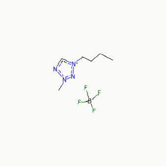 CCCC[n+]1cnn(C)n1.F[B-](F)(F)F